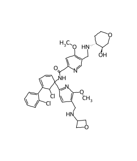 COc1cc(C(=O)NC2(c3ccc(CNC4COC4)c(OC)n3)C=CC=C(c3ccccc3Cl)C2Cl)ncc1CN[C@@H]1CCOC[C@H]1O